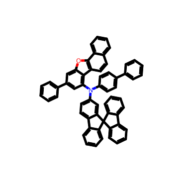 c1ccc(-c2ccc(N(c3ccc4c(c3)C3(c5ccccc5-c5ccccc53)c3ccccc3-4)c3cc(-c4ccccc4)cc4oc5c6ccccc6ccc5c34)cc2)cc1